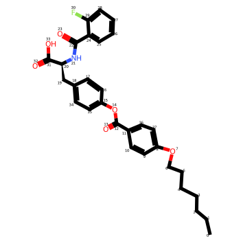 CCCCCCCOc1ccc(C(=O)Oc2ccc(C[C@H](NC(=O)c3ccccc3F)C(=O)O)cc2)cc1